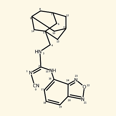 N#CN=C(NCC12CC3CC(CC(C3)C1)C2)Nc1cccc2nonc12